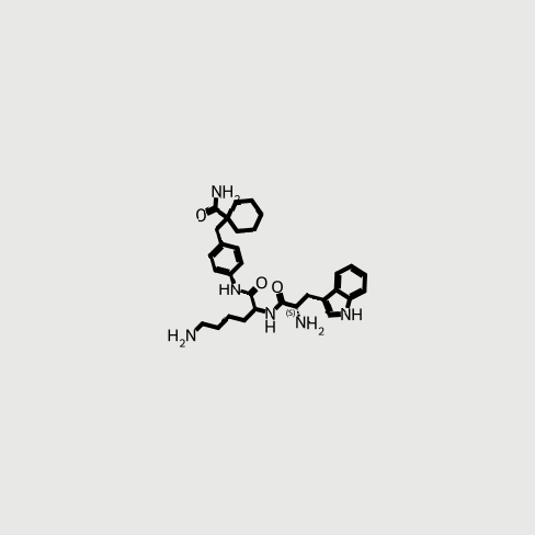 NCCCCC(NC(=O)[C@@H](N)Cc1c[nH]c2ccccc12)C(=O)Nc1ccc(CC2(C(N)=O)CCCCC2)cc1